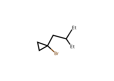 CCC(CC)CC1(Br)CC1